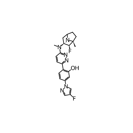 CN(c1ccc(-c2ccc(-n3cc(F)cn3)cc2O)nn1)[C@H]1CC2CC[C@](C)([C@H]1F)N2C